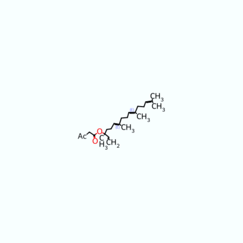 C=CC(C)(CC/C=C(\C)CC/C=C(\C)CCC=C(C)C)OC(=O)CC(C)=O